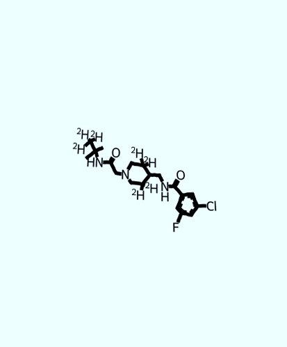 [2H]C1([2H])CN(CC(=O)NC(C)(C)C([2H])([2H])[2H])CC([2H])([2H])C1CNC(=O)c1cc(F)cc(Cl)c1